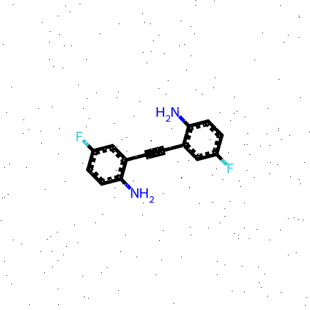 Nc1ccc(F)cc1C#Cc1cc(F)ccc1N